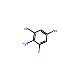 CCCCc1cc([N+](=O)[O-])cc(Cl)c1N